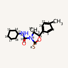 Cc1ccc(C2OC(=S)N(C(=O)NC3CCCCC3)C2C)cc1